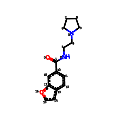 O=C(NCCN1CCCC1)c1ccc2ccoc2c1